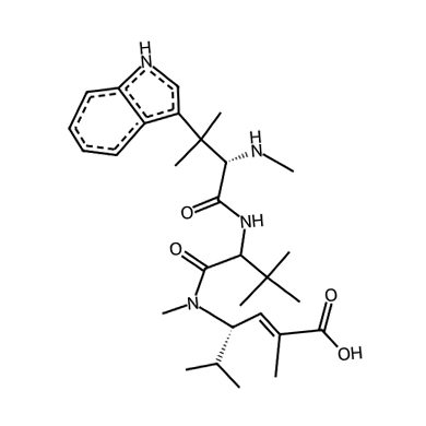 CN[C@H](C(=O)NC(C(=O)N(C)[C@H](/C=C(\C)C(=O)O)C(C)C)C(C)(C)C)C(C)(C)c1c[nH]c2ccccc12